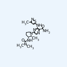 Cc1cc(Nc2nc(N3CCC[C@H](NC(=O)N(C)C)[C@@H]3C)cnc2C(N)=O)sn1